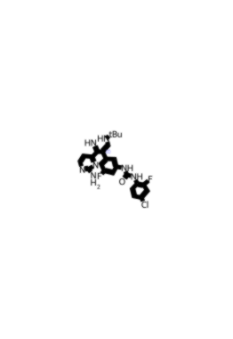 CC(C)(C)N/C=C(\C(=N)c1ccnc(N)n1)c1cc(F)cc(NC(=O)Nc2ccc(Cl)cc2F)c1